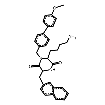 COc1ccc(-c2ccc(CN3C(=O)C(Cc4ccc5ccccc5c4)NC(=O)C3CCCCN)cc2)cc1